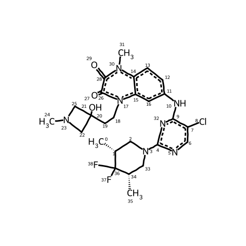 C[C@@H]1CN(c2ncc(Cl)c(Nc3ccc4c(c3)n(CCC3(O)CN(C)C3)c(=O)c(=O)n4C)n2)C[C@H](C)C1(F)F